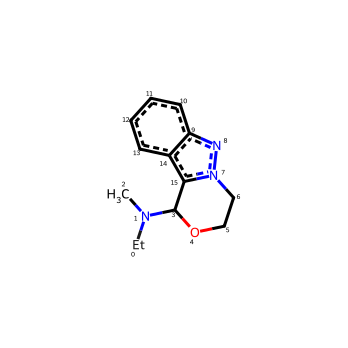 CCN(C)C1OCCn2nc3ccccc3c21